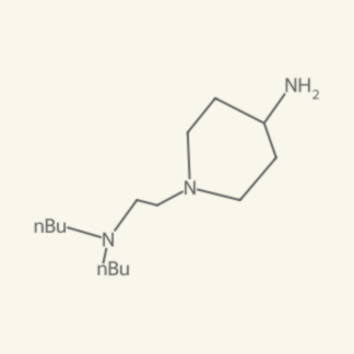 CCCCN(CCCC)CCN1CCC(N)CC1